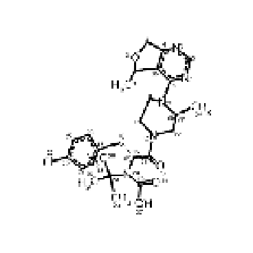 CC1OCc2ncnc(N3CCN(C(=O)[C@@H](Cc4ccc(Cl)cc4)N(C(=O)O)C(C)(C)C)C[C@@H]3C)c21